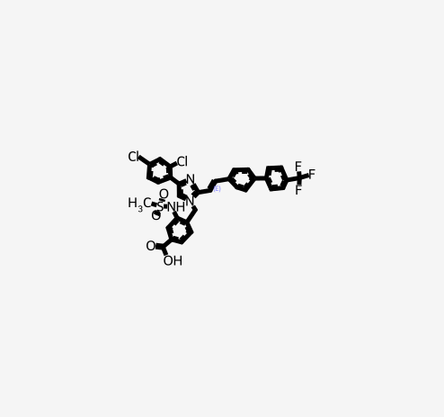 CS(=O)(=O)Nc1cc(C(=O)O)ccc1Cn1cc(-c2ccc(Cl)cc2Cl)nc1/C=C/c1ccc(-c2ccc(C(F)(F)F)cc2)cc1